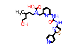 CC(CCO)CCN(Cc1cccc(NC(=O)Nc2csc(-c3ccncc3)n2)n1)C(=O)O